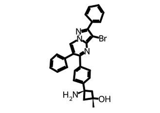 C[C@]1(O)C[C@@](N)(c2ccc(-c3nc4c(Br)c(-c5ccccc5)nn4cc3-c3ccccc3)cc2)C1